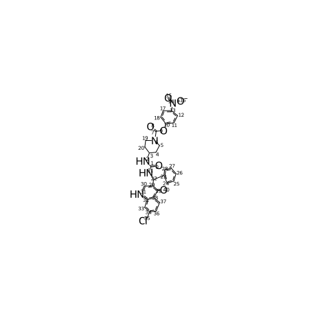 O=C(NC1CCN(C(=O)Oc2ccc([N+](=O)[O-])cc2)CC1)NC(c1ccccc1)c1c[nH]c2cc(Cl)ccc2c1=O